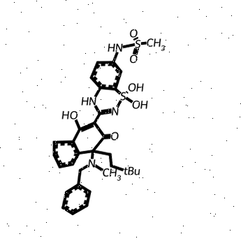 CN(Cc1ccccc1)C1(CCC(C)(C)C)C(=O)C(C2=NS(O)(O)c3cc(NS(C)(=O)=O)ccc3N2)=C(O)c2ccccc21